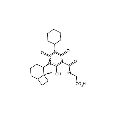 O=C(O)CNC(=O)c1c(O)n([C@@H]2CCCC3CC[C@H]32)c(=O)n(C2CCCCC2)c1=O